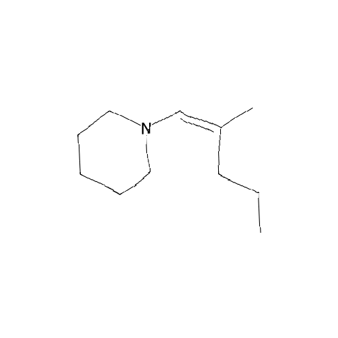 CCCC(C)=CN1CCCCC1